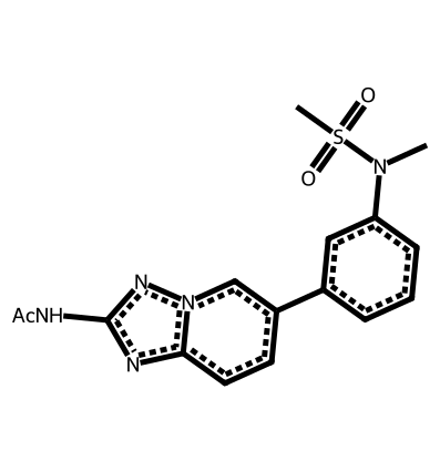 CC(=O)Nc1nc2ccc(-c3cccc(N(C)S(C)(=O)=O)c3)cn2n1